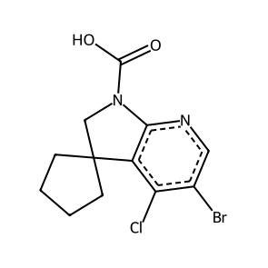 O=C(O)N1CC2(CCCC2)c2c1ncc(Br)c2Cl